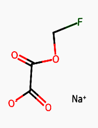 O=C([O-])C(=O)OCF.[Na+]